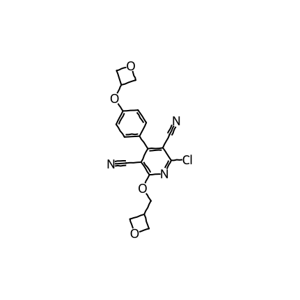 N#Cc1c(Cl)nc(OCC2COC2)c(C#N)c1-c1ccc(OC2COC2)cc1